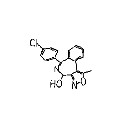 Cc1onc2c1-c1ccccc1C(c1ccc(Cl)cc1)=NC2O